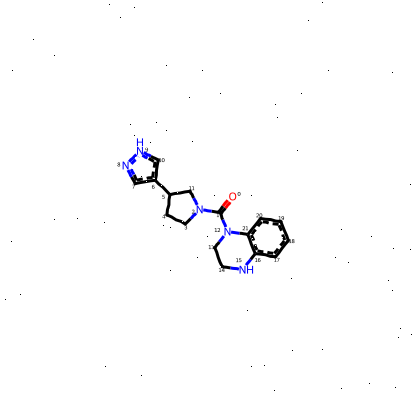 O=C(N1CCC(c2cn[nH]c2)C1)N1CCNc2ccccc21